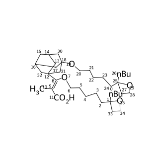 CCCCC1(CCCCCOC(=C(C)C(=O)O)C23CC4CC(CC(OCCCCCC5(CCCC)CCO5)(C4)C2)C3)CCO1